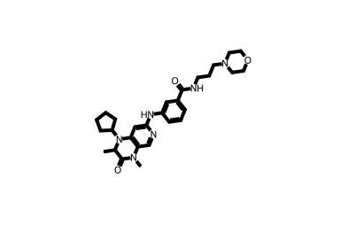 CC1C(=O)N(C)c2cnc(Nc3cccc(C(=O)NCCCN4CCOCC4)c3)cc2N1C1CCCC1